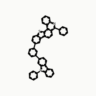 c1ccc(-c2nc3ccccc3c3c2ccc2c4cc(-c5cccc(-c6ccc7c8ccccc8n(-c8ccccc8)c7c6)c5)ccc4sc23)cc1